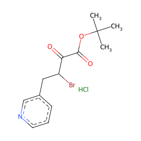 CC(C)(C)OC(=O)C(=O)C(Br)Cc1cccnc1.Cl